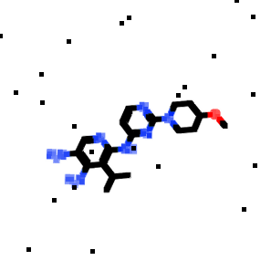 COC1CCN(c2nccc(Nc3ncc(N)c(N)c3C(C)C)n2)CC1